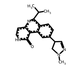 CC(C)c1nc2cc[nH]c(=O)c2c2cc(C3C=NN(C)C3)ccc12